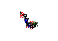 CCOC(=O)c1cccc(C2CCN([C@@H]3CC[C@](CCO)(C(=O)N4COc5ccc(C(F)(F)F)cc5C4)C3)CC2)c1